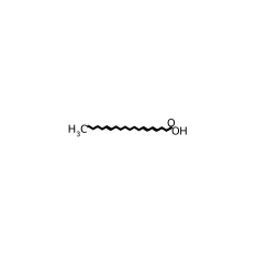 CCCCC/C=C/CCCCCC/C=C/C=C/CCC(=O)O